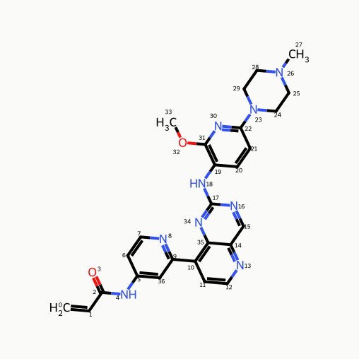 C=CC(=O)Nc1ccnc(-c2ccnc3cnc(Nc4ccc(N5CCN(C)CC5)nc4OC)nc23)c1